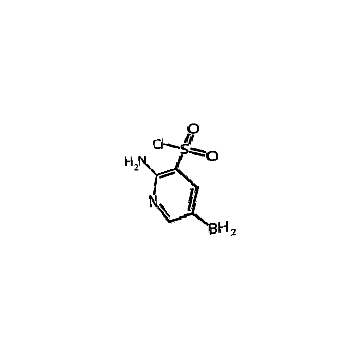 Bc1cnc(N)c(S(=O)(=O)Cl)c1